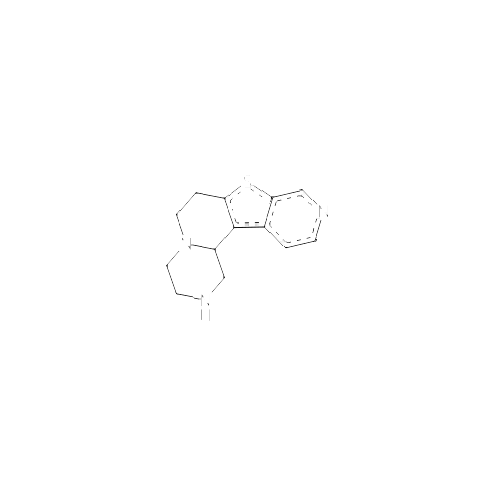 c1cc2c3c(sc2cn1)CCN1CCNCC31